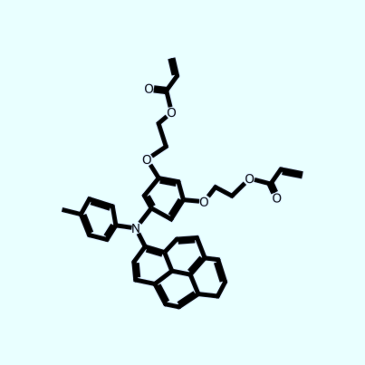 C=CC(=O)OCCOc1cc(OCCOC(=O)C=C)cc(N(C2=C3C=CC4=C5C(=CC=C(C=C2)C35)CC=C4)c2ccc(C)cc2)c1